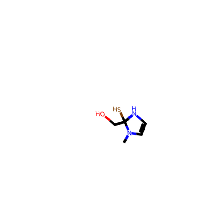 CN1C=CNC1(S)CO